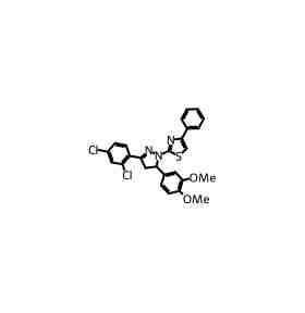 COc1ccc(C2CC(c3ccc(Cl)cc3Cl)=NN2c2nc(-c3ccccc3)cs2)cc1OC